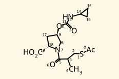 CC(=O)SCC(C)C(=O)N1C[C@H](OC(=O)NC2CC2)C[C@H]1C(=O)O